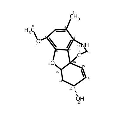 COc1cc(C)c2c3c1OC1C[C@@H](O)C=CC31CCN2